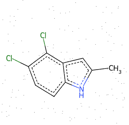 Cc1cc2c(Cl)c(Cl)ccc2[nH]1